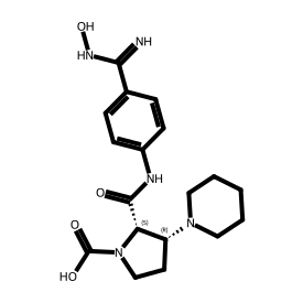 N=C(NO)c1ccc(NC(=O)[C@@H]2[C@H](N3CCCCC3)CCN2C(=O)O)cc1